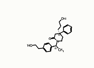 C[C@@H](c1ccc(CCO)cc1)N1CC[C@](CCCO)(c2ccccc2)CC1=O